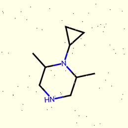 CC1CNCC(C)N1C1CC1